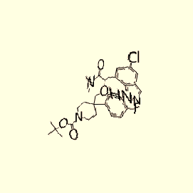 CN(C)C(=O)C(OCC1(c2ccc(F)cc2)CCN(C(=O)OC(C)(C)C)CC1)c1cc(Cl)cc2cn[nH]c12